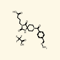 NN=Cc1ccc(C(=O)N2CCC3(CC2)NC(=O)N(CCCC(=O)O)C3=O)cc1.O=C(O)C(F)(F)F